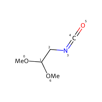 COC(CN=C=O)OC